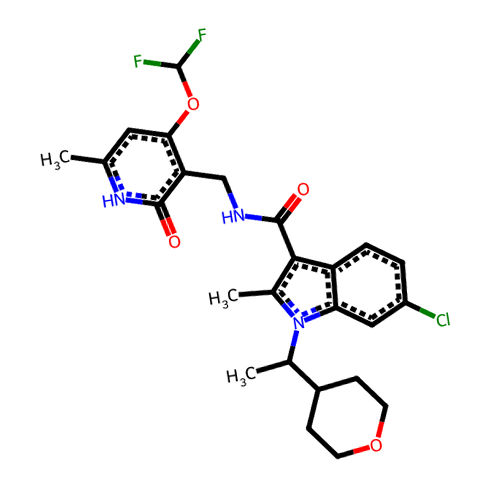 Cc1cc(OC(F)F)c(CNC(=O)c2c(C)n(C(C)C3CCOCC3)c3cc(Cl)ccc23)c(=O)[nH]1